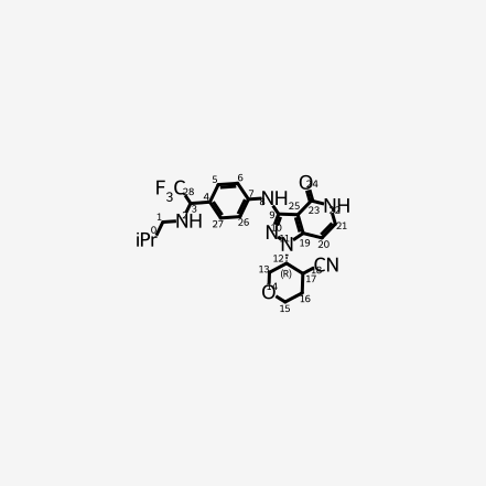 CC(C)CNC(c1ccc(Nc2nn([C@H]3COCCC3C#N)c3cc[nH]c(=O)c23)cc1)C(F)(F)F